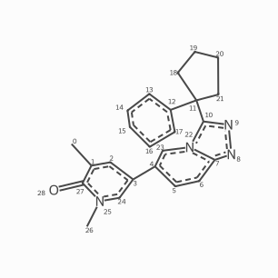 Cc1cc(-c2ccc3nnc(C4(c5ccccc5)CCCC4)n3c2)cn(C)c1=O